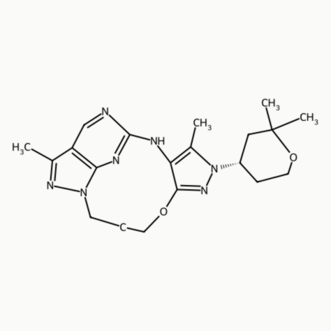 Cc1nn2c3nc(ncc13)Nc1c(nn([C@H]3CCOC(C)(C)C3)c1C)OCCC2